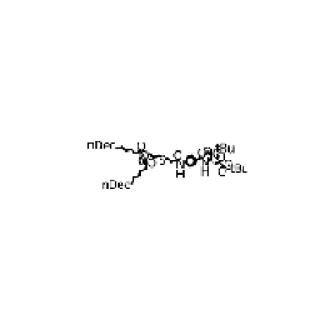 CCCCCCCCCCCCCCCC(=O)OCC(CSCCC(=O)Nc1ccc(C(=O)N[C@@H](CC(=O)C(=O)OC(C)(C)C)C(=O)OC(C)(C)C)cc1)OC(=O)CCCCCCCCCCCCCCC